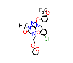 CN1C(=O)CN(CCCOC2CCCCO2)C(=O)c2c1nc(Oc1cccc(OC(F)(F)F)c1)n2Cc1ccc(Cl)cc1